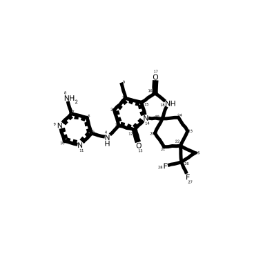 Cc1cc(Nc2cc(N)ncn2)c(=O)n2c1C(=O)NC21CCC2(CC1)CC2(F)F